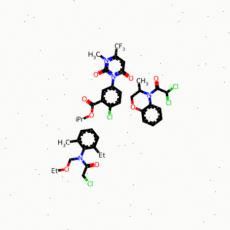 CC(C)OC(=O)c1cc(-n2c(=O)cc(C(F)(F)F)n(C)c2=O)ccc1Cl.CC1COc2ccccc2N1C(=O)C(Cl)Cl.CCOCN(C(=O)CCl)c1c(C)cccc1CC